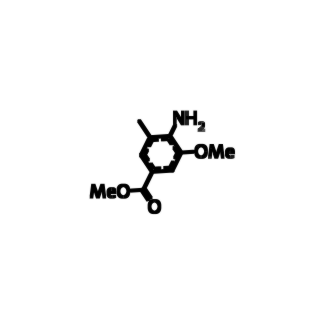 COC(=O)c1cc(C)c(N)c(OC)c1